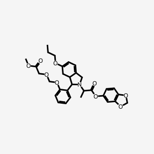 CCCOC1=CC=C2CN(C(C)C(=O)Oc3ccc4c(c3)OCO4)C(c3ccccc3OCOCC(=O)OC)C2C1